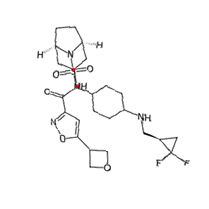 O=C(NC1C[C@H]2CC[C@@H](C1)N2S(=O)(=O)CC1CCC(NC[C@H]2CC2(F)F)CC1)c1cc(C2COC2)on1